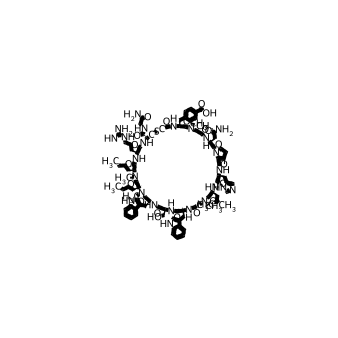 CCCC[C@H]1C(=O)N(C)[C@@H](CCCC)C(=O)N[C@@H](CCCNC(=N)N)C(=O)N[C@H](C(=O)NCC(N)=O)CSCC(=O)N[C@@H](Cc2ccc(C(=O)O)cc2)C(=O)N(C)[C@@H](C)C(=O)N[C@@H](CC(N)=O)C(=O)N2CCC[C@H]2C(=O)N[C@@H](Cc2cnc[nH]2)C(=O)N[C@@H](CC(C)C)C(=O)N(C)CC(=O)N[C@@H](Cc2c[nH]c3ccccc23)C(=O)N[C@@H](CO)C(=O)N[C@@H](Cc2c[nH]c3ccccc23)C(=O)N1C